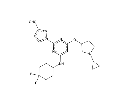 O=Cc1ccn(-c2nc(NC3CCC(F)(F)CC3)cc(OC3CCN(C4CC4)C3)n2)n1